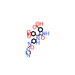 CN1CCN(CC(=O)N(C)c2ccc(N/C(=C3\C(=O)Nc4ccc(C(=O)O)cc43)c3ccc4c(c3)OCO4)cc2)CC1